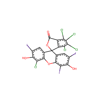 O=C1OC2(c3cc(I)c(O)c(Cl)c3Oc3c2cc(I)c(O)c3I)c2c(Cl)c(Cl)c(Cl)c(Cl)c21